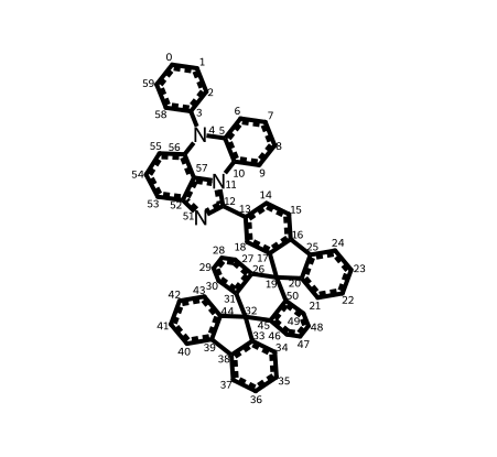 c1ccc(N2c3ccccc3-n3c(-c4ccc5c(c4)C4(c6ccccc6-5)c5ccccc5C5(c6ccccc6-c6ccccc65)c5ccccc54)nc4cccc2c43)cc1